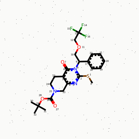 CSc1nc2c(c(=O)n1C(COCC(F)(F)F)c1ccccc1)CCN(C(=O)OC(C)(C)C)C2